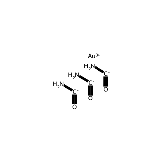 N[C-]=O.N[C-]=O.N[C-]=O.[Au+3]